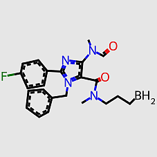 BCCCN(C)C(=O)c1c(N(C)C=O)nc(-c2ccc(F)cc2)n1Cc1ccccc1